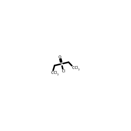 O=P(Cl)(CC(Cl)(Cl)Cl)CC(Cl)(Cl)Cl